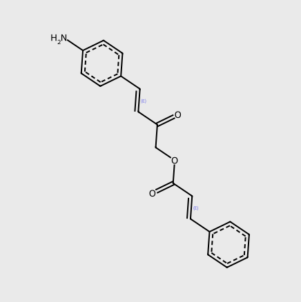 Nc1ccc(/C=C/C(=O)COC(=O)/C=C/c2ccccc2)cc1